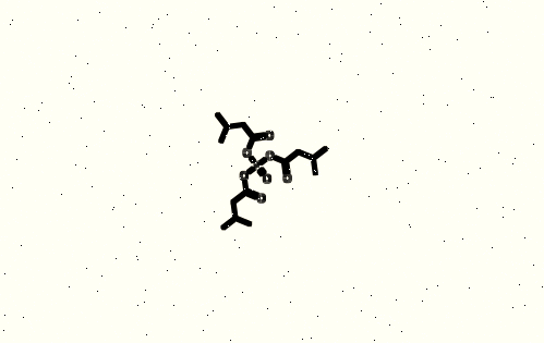 CC(C)CC(=O)OP(=O)(OC(=O)CC(C)C)OC(=O)CC(C)C